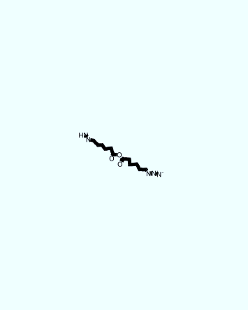 [N-]=[N+]=NCCCCCC(=O)OC(=O)CCCCCN=N